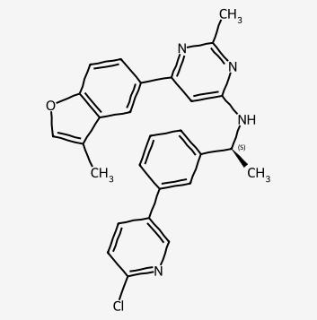 Cc1nc(N[C@@H](C)c2cccc(-c3ccc(Cl)nc3)c2)cc(-c2ccc3occ(C)c3c2)n1